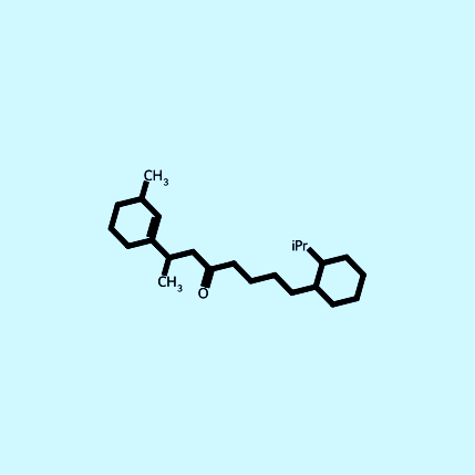 CC1C=C(C(C)CC(=O)CCCCC2CCCCC2C(C)C)CCC1